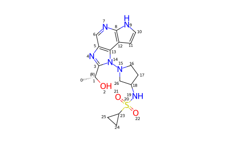 C[C@@H](O)c1nc2cnc3[nH]ccc3c2n1N1CCC(NS(=O)(=O)C2CC2)C1